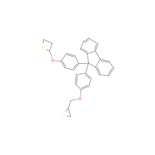 c1ccc2c(c1)-c1ccccc1C2(c1ccc(OCC2CS2)cc1)c1ccc(OC2CCS2)cc1